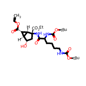 C=COC(=O)[C@H]1[C@H]2[C@@H]1[C@@](NC(=O)C(CCCCNC(=O)OC(C)(C)C)NC(=O)OC(C)(C)C)(C(=O)OCC)C[C@@H]2O